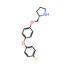 Fc1ccc(Oc2ccc(OC[C@H]3CCCN3)cc2)cc1